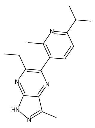 [CH2]c1nc(C(C)C)ccc1-c1nc2c(C)n[nH]c2nc1CC